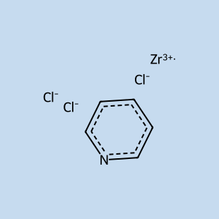 [Cl-].[Cl-].[Cl-].[Zr+3].c1ccncc1